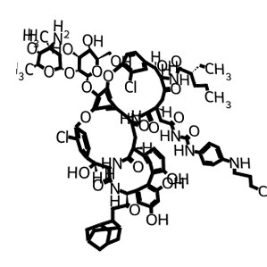 CCCCNc1ccc(NC(=O)NC(=O)C[C@@H]2CC(=O)[C@H](NC(=O)[C@H](CC)CCC)[C@H](O)c3ccc(c(Cl)c3)Oc3cc4cc(c3O[C@@H]3O[C@H](CO)[C@@H](O)[C@H](O)[C@H]3O[C@H]3C[C@](C)(N)[C@H](O)[C@H](C)O3)Oc3ccc(cc3Cl)[C@@H](O)[C@@H]3NC(=O)[C@H](CC(=O)[C@@H]4NC2=O)c2ccc(O)c(c2)-c2c(O)cc(O)cc2[C@@H](C(=O)CC2C4CC5CC(C4)CC2C5)NC3=O)cc1